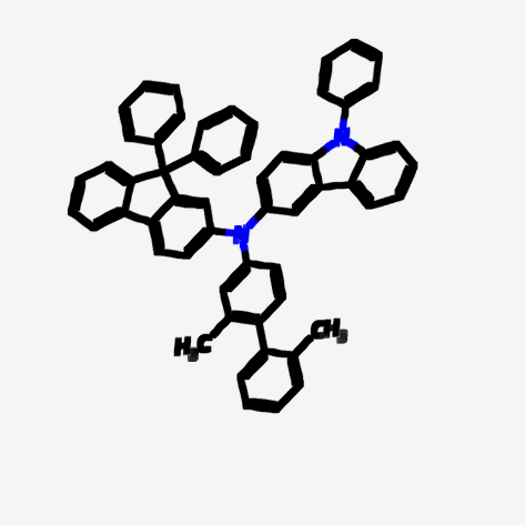 Cc1ccccc1-c1ccc(N(c2ccc3c(c2)C(c2ccccc2)(c2ccccc2)c2ccccc2-3)c2ccc3c(c2)c2ccccc2n3-c2ccccc2)cc1C